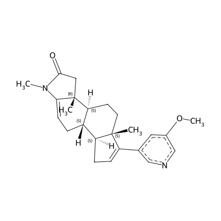 COc1cncc(C2=CC[C@H]3[C@@H]4CC=C5N(C)C(=O)C[C@]5(C)[C@H]4CC[C@]23C)c1